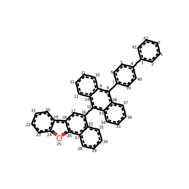 c1ccc(-c2ccc(-c3c4ccccc4c(-c4cc5c6ccccc6oc5c5ccccc45)c4ccccc34)cc2)cc1